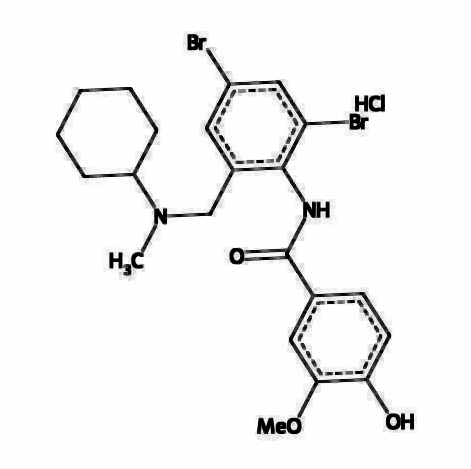 COc1cc(C(=O)Nc2c(Br)cc(Br)cc2CN(C)C2CCCCC2)ccc1O.Cl